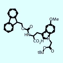 COc1ccc2c(c1)c(CC(NC(=O)OCC1c3ccccc3-c3ccccc31)C(=O)O)cn2CC(=O)OC(C)(C)C